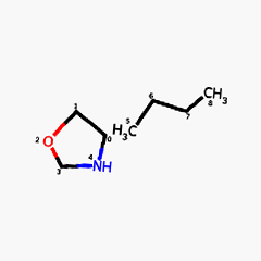 C1COCN1.CCCC